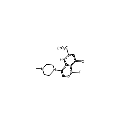 CCOC(=O)c1cc(=O)c2c(F)ccc(N3CCN(C)CC3)c2[nH]1